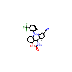 Cc1cc(C#N)ccc1C(NC(=O)O)C1=C(Nc2cccc(C(F)(F)F)c2)CCCC1=O